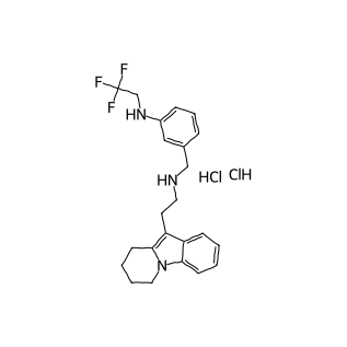 Cl.Cl.FC(F)(F)CNc1cccc(CNCCc2c3n(c4ccccc24)CCCC3)c1